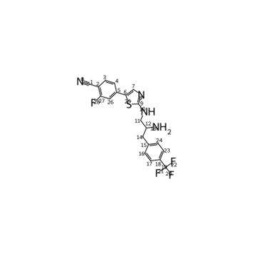 N#Cc1ccc(-c2cnc(NCC(N)Cc3ccc(C(F)(F)F)cc3)s2)cc1F